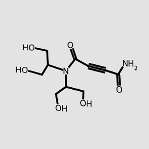 NC(=O)C#CC(=O)N(C(CO)CO)C(CO)CO